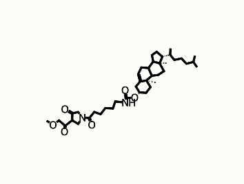 COCC(=O)C1CN(C(=O)CCCCCNC(=O)O[C@H]2CC[C@@]3(C)C(=CCC4C3CC[C@@]3(C)C4CC[C@@H]3C(C)CCCC(C)C)C2)CC1=O